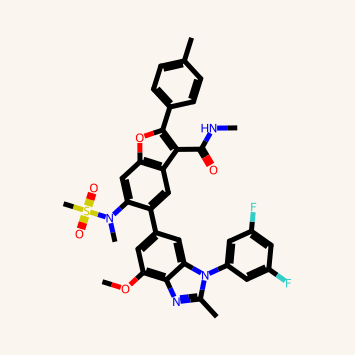 CNC(=O)c1c(-c2ccc(C)cc2)oc2cc(N(C)S(C)(=O)=O)c(-c3cc(OC)c4nc(C)n(-c5cc(F)cc(F)c5)c4c3)cc12